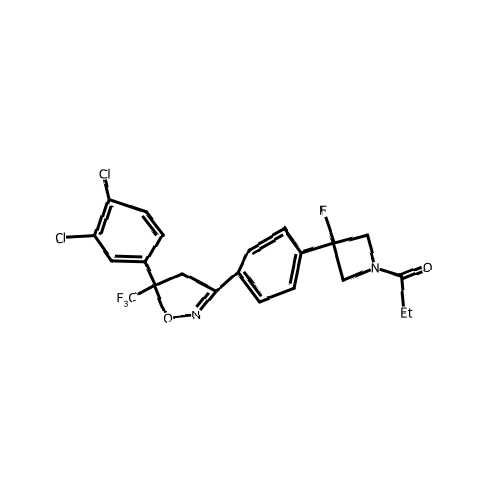 CCC(=O)N1CC(F)(c2ccc(C3=NOC(c4ccc(Cl)c(Cl)c4)(C(F)(F)F)C3)cc2)C1